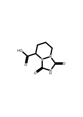 O=C(O)C1CCCn2c(=O)[nH]c(=O)n21